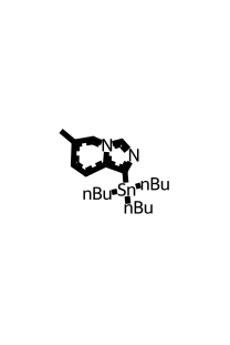 CCC[CH2][Sn]([CH2]CCC)([CH2]CCC)[c]1ncn2cc(C)ccc12